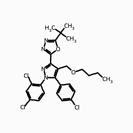 CCCCOCc1c(-c2nnc(C(C)(C)C)o2)nn(-c2ccc(Cl)cc2Cl)c1-c1ccc(Cl)cc1